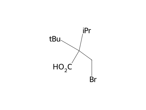 CC(C)C(CBr)(C(=O)O)C(C)(C)C